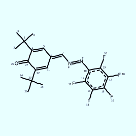 CC(C)(C)C1=CC(=CN=Nc2c(F)c(F)c(F)c(F)c2F)C=C(C(C)(C)C)C1=O